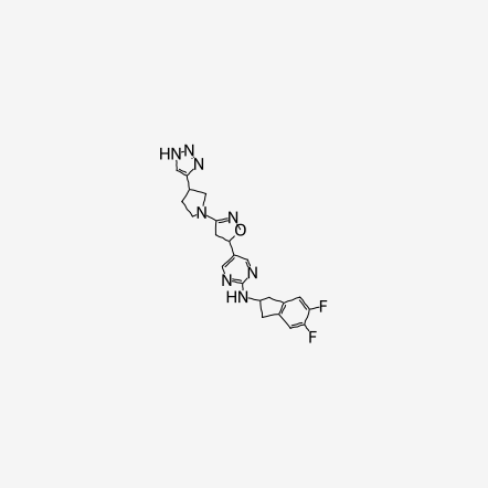 Fc1cc2c(cc1F)CC(Nc1ncc(C3CC(N4CCC(c5c[nH]nn5)C4)=NO3)cn1)C2